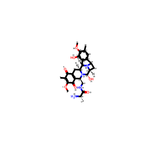 COC1=C(C)C(=O)C2=C(C1=O)[C@H](CNC(=O)[C@H](C)N)N1[C@@H](O)[C@@H]3CC4c5cc(C)c(OC)c(O)c5[C@@H]([C@@H]1C2)N43